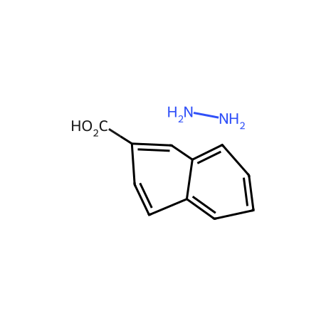 NN.O=C(O)c1ccc2ccccc2c1